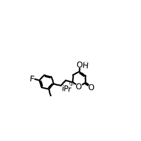 Cc1cc(F)ccc1CC[C@@]1(C(C)C)CC(O)=CC(=O)O1